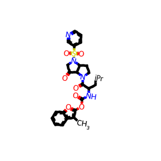 Cc1c(OC(=O)NC(CC(C)C)C(=O)N2CCC3C2C(=O)CN3S(=O)(=O)c2cccnc2)oc2ccccc12